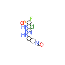 CP(C)(=O)c1cc(F)ccc1Nc1nc(Nc2ccc3c(c2)CCC(N2CC4CC2CO4)CC3)ncc1Cl